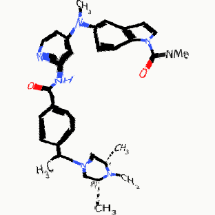 CNC(=O)n1ccc2cc(N(C)c3ccnc(NC(=O)c4ccc(C(C)N5C[C@@H](C)N(C)[C@@H](C)C5)cc4)c3)ccc21